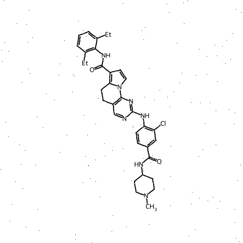 CCc1cccc(CC)c1NC(=O)c1ccn2c1CCc1cnc(Nc3ccc(C(=O)NC4CCN(C)CC4)cc3Cl)nc1-2